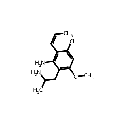 C/C=C\c1c(Cl)cc(OC)c(CC(C)N)c1N